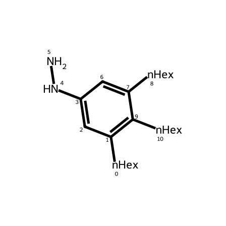 CCCCCCc1cc(NN)cc(CCCCCC)c1CCCCCC